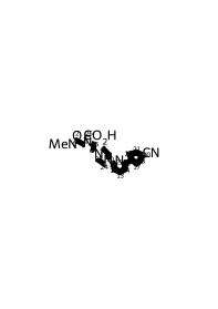 CNC(=O)CN(CCN1CCN(c2cccc(-c3ccc(C#N)cc3)n2)CC1)C(=O)O